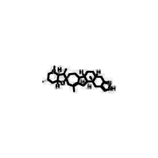 CC1=C2C[C@H]3[C@@H](CC[C@@H]4Cc5n[nH]cc5C[C@@]43C)[C@@H]2CC[C@@]2(C1)O[C@@H]1C[C@H](C)CN(C)[C@H]1[C@H]2C